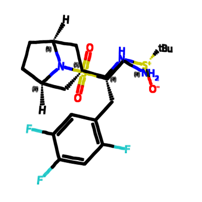 CC(C)(C)[S@+]([O-])N[C@H](Cc1cc(F)c(F)cc1F)[C@@H]1C[C@H]2CC[C@@H](C1)N2S(=O)(=O)CCN